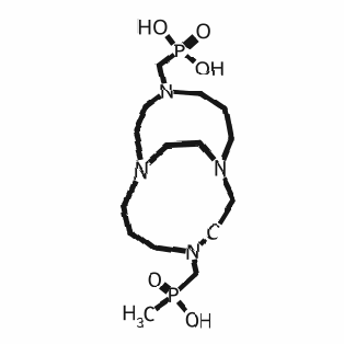 CP(=O)(O)CN1CCCN2CCN(CCCN(CP(=O)(O)O)CC2)CC1